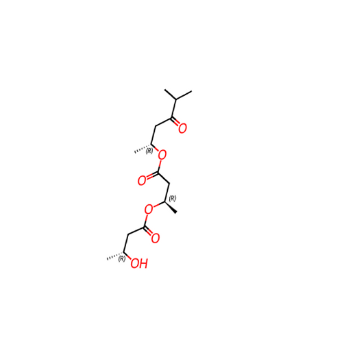 CC(C)C(=O)C[C@@H](C)OC(=O)C[C@@H](C)OC(=O)C[C@@H](C)O